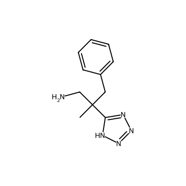 CC(CN)(Cc1ccccc1)c1nnn[nH]1